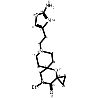 CCN1CC2(CCN(CCc3csc(N)n3)CC2)OC2(CC2)C1=O